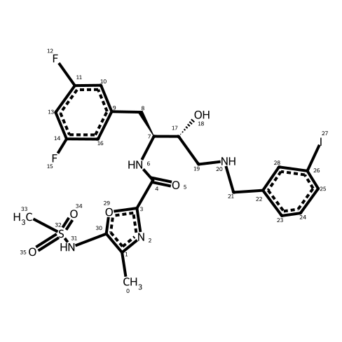 Cc1nc(C(=O)N[C@@H](Cc2cc(F)cc(F)c2)[C@H](O)CNCc2cccc(I)c2)oc1NS(C)(=O)=O